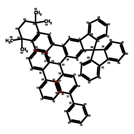 CC(C)c1cc2c(cc1-c1cc3c(cc1N(c1ccc(-c4ccccc4)cc1)c1ccccc1-c1ccccc1)C1(c4ccccc4-c4ccccc41)c1ccccc1-3)C(C)(C)CCC2(C)C